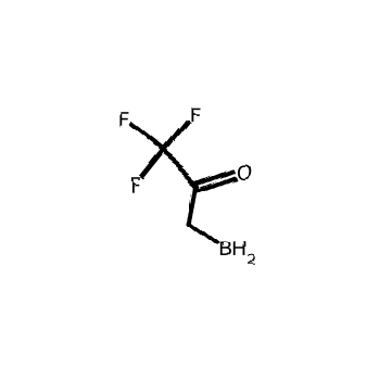 BCC(=O)C(F)(F)F